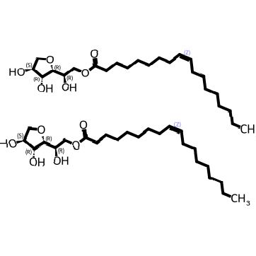 CCCCCCCC/C=C\CCCCCCCC(=O)OC[C@@H](O)[C@H]1OC[C@H](O)[C@H]1O.CCCCCCCC/C=C\CCCCCCCC(=O)OC[C@@H](O)[C@H]1OC[C@H](O)[C@H]1O